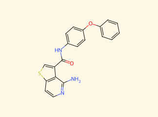 Nc1nccc2scc(C(=O)Nc3ccc(Oc4ccccc4)cc3)c12